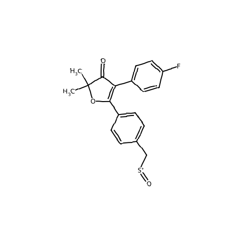 CC1(C)OC(c2ccc(C[S+]=O)cc2)=C(c2ccc(F)cc2)C1=O